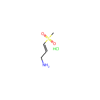 CS(=O)(=O)C=CCN.Cl